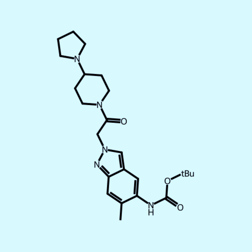 Cc1cc2nn(CC(=O)N3CCC(N4CCCC4)CC3)cc2cc1NC(=O)OC(C)(C)C